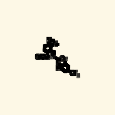 COc1ccc2ncn(C)c2c1CNC(=O)Nc1ccc(C(F)(F)F)cc1F